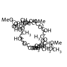 COC1CC(C)OC(CCC(C)C(O)C(C)C2OC(=O)/C(C)=C/CC(O)CC3C=CCC(CC(OC)CC(O)CC(O)C(C)C(C(C)C(O)C(C)CCC4CC(OC)CC(C)O4)OC(O)/C(C)=C/CC(O)CC4C=CCC(CC(OC)C(C)C(O)CC(O)C2C)O4)O3)C1